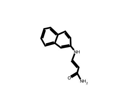 NC(=O)C=CNc1ccc2ccccc2c1